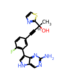 C[C@@](O)(C#Cc1ccc(F)c(-c2c[nH]c3cnc(N)nc23)c1)c1nccs1